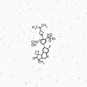 CCS(=O)(=O)Nc1cc(-c2cc3c4c(cnc3cc2F)N(C)C(=O)C42CCC2)cnc1N1CC(N(C)C)C1.O=CO